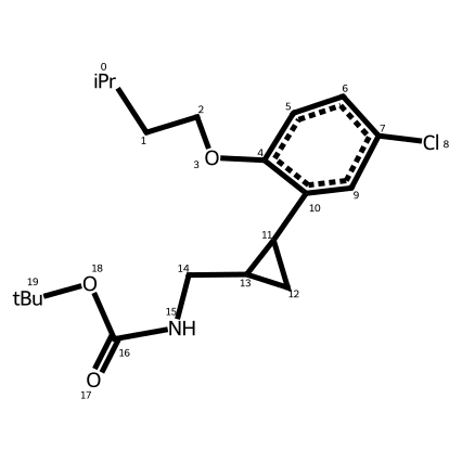 CC(C)CCOc1ccc(Cl)cc1C1CC1CNC(=O)OC(C)(C)C